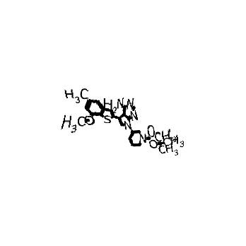 COc1cc(C)cc2cc(-c3cn(C4CCCN(C(=O)OC(C)(C)C)C4)c4ncnc(N)c34)sc12